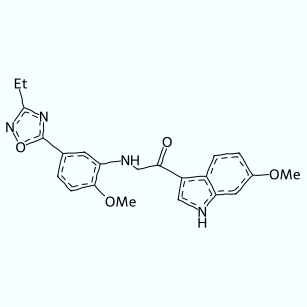 CCc1noc(-c2ccc(OC)c(NCC(=O)c3c[nH]c4cc(OC)ccc34)c2)n1